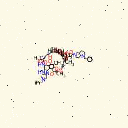 C/C1=C/C=C/[C@H](C)[C@H](O)[C@@H](C)[C@@H](O)[C@@H](C)[C@H](OC(=O)CC(=O)N2CCC3C(CCCN3Cc3ccccc3)C2)[C@H](C)C/C=C/O[C@@]2(C)Oc3c(C)c(O)c4c(c3C2=O)C2=NC3(CCN(CC(C)C)CC3)NC2=C(NC1=O)C4=O